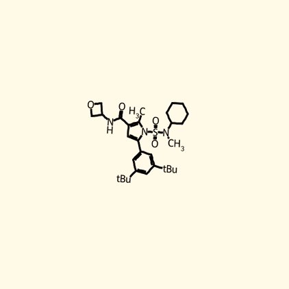 Cc1c(C(=O)NC2COC2)cc(-c2cc(C(C)(C)C)cc(C(C)(C)C)c2)n1S(=O)(=O)N(C)C1CCCCC1